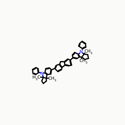 CC12CCCC1(C)N(c1ccccc1)c1ccc(-c3ccc4c(c3)Cc3cc(-c5ccc6c(c5)C5(C)CCCC5(C)N6c5ccccc5)ccc3-4)cc12